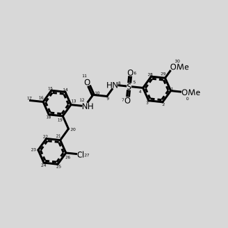 COc1ccc(S(=O)(=O)NCC(=O)Nc2ccc(C)cc2Cc2ccccc2Cl)cc1OC